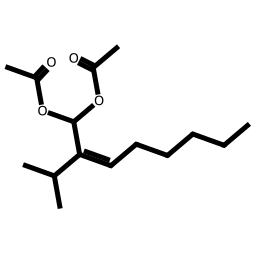 CCCCCC=C(C(C)C)C(OC(C)=O)OC(C)=O